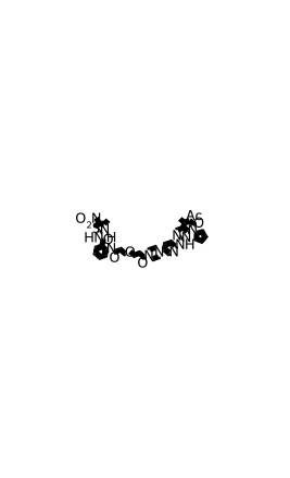 CC(=O)c1c(C)c2cnc(Nc3ccc(N4CCN(C(=O)CCOCCC(=O)Nc5ccccc5C(=O)Nc5nc(C)c([N+](=O)[O-])s5)CC4)cn3)nc2n(C2CCCC2)c1=O